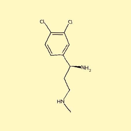 CNCC[C@H](N)c1ccc(Cl)c(Cl)c1